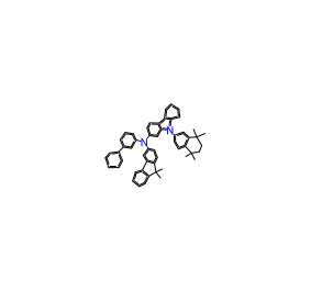 CC1(C)CCC(C)(C)c2cc(-n3c4ccccc4c4ccc(N(c5cccc(-c6ccccc6)c5)c5ccc6c(c5)-c5ccccc5C6(C)C)cc43)ccc21